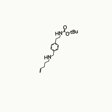 C=CCCCNCc1ccc(CCNC(=O)OC(C)(C)C)cc1